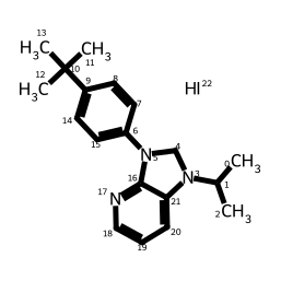 CC(C)N1CN(c2ccc(C(C)(C)C)cc2)c2ncccc21.I